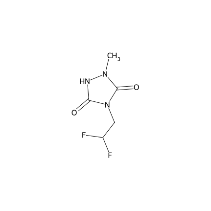 Cn1[nH]c(=O)n(CC(F)F)c1=O